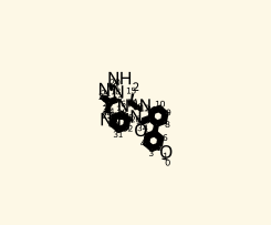 COc1cccc(-c2cccc3nc([C@H](C)Nc4nc(N)ncc4C#N)n(-c4ccccc4)c(=O)c23)c1